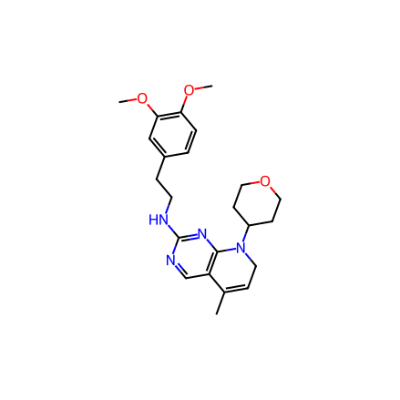 COc1ccc(CCNc2ncc3c(n2)N(C2CCOCC2)CC=C3C)cc1OC